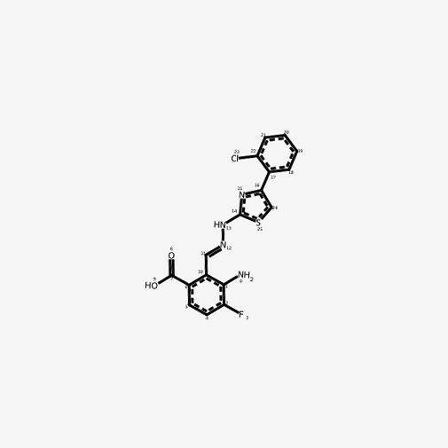 Nc1c(F)ccc(C(=O)O)c1C=NNc1nc(-c2ccccc2Cl)cs1